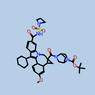 COC1=CC2C(C=C1)c1c(C3CCCCC3)c3ccc(C(=O)NS(=O)(=O)N4CCC4)cc3n1CC1(C(=O)N3CC4CC3CN4C(=O)OC(C)(C)C)CC21